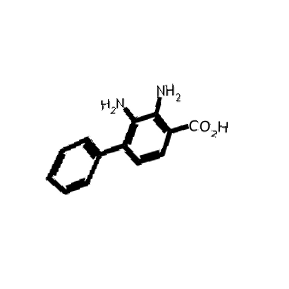 Nc1c(C(=O)O)ccc(-c2ccccc2)c1N